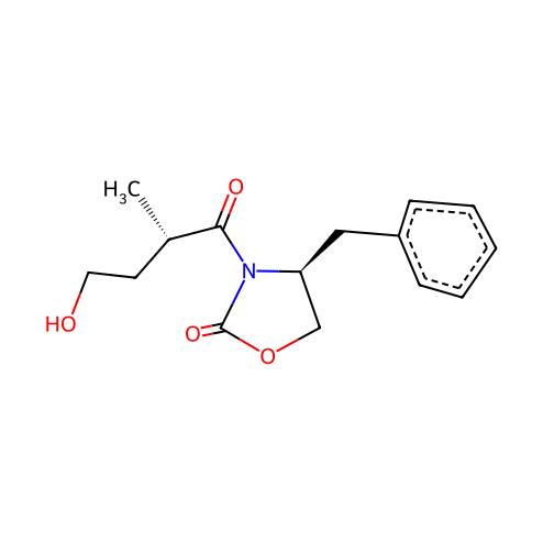 C[C@@H](CCO)C(=O)N1C(=O)OC[C@@H]1Cc1ccccc1